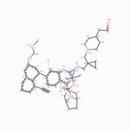 C#Cc1cccc2cc(OCOC)cc(-c3c(F)cc4c(N5CC6CCC(C5)N6C(=O)OC(C)(C)C)nc(OCC5(CN6CCC(CC=O)CC6)CC5)nc4c3F)c12